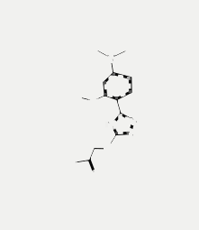 COc1cc(N(C)C)ccc1-c1nnc(SCC(=O)O)[nH]1